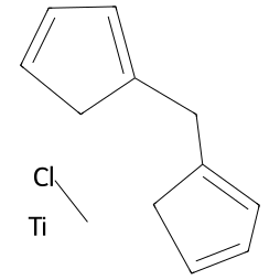 C1=CCC(CC2=CC=CC2)=C1.CCl.[Ti]